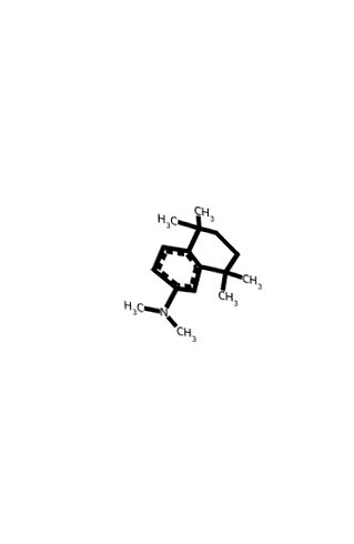 CN(C)c1[c]cc2c(c1)C(C)(C)CCC2(C)C